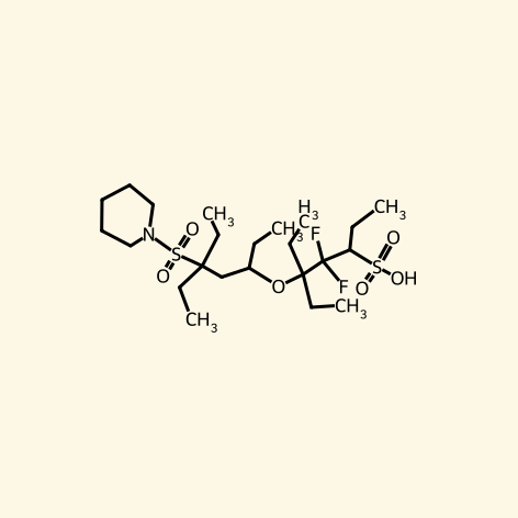 CCC(CC(CC)(CC)S(=O)(=O)N1CCCCC1)OC(CC)(CC)C(F)(F)C(CC)S(=O)(=O)O